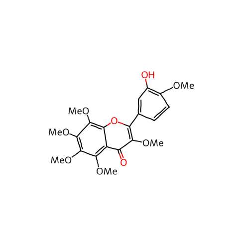 COc1ccc(-c2oc3c(OC)c(OC)c(OC)c(OC)c3c(=O)c2OC)cc1O